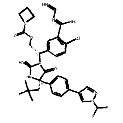 CC(C)(C)C[C@]1(c2ccc(-c3cnn(C(F)F)c3)cc2)NC(=N)N([C@H](COC(=O)N2CCC2)c2ccc(Cl)c(/C(N)=N/C=N)c2)C1=O